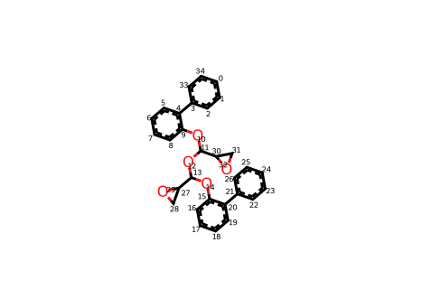 c1ccc(-c2ccccc2OC(OC(Oc2ccccc2-c2ccccc2)C2CO2)C2CO2)cc1